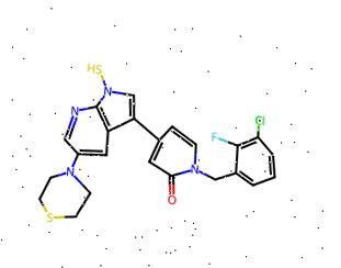 O=c1cc(-c2cn(S)c3ncc(N4CCSCC4)cc23)ccn1Cc1cccc(Cl)c1F